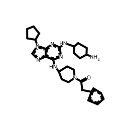 NC1CCC(Nc2nc(NC3CCN(C(=O)Cc4ccccc4)CC3)c3ncn(C4CCCC4)c3n2)CC1